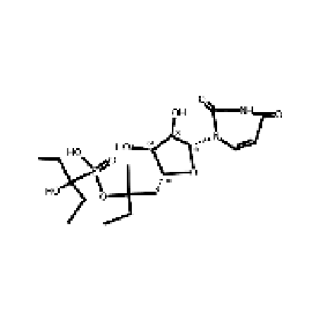 CCC(C)(C[C@H]1O[C@@H](n2ccc(=O)[nH]c2=O)[C@H](O)[C@@H]1O)OP(=O)(O)C(O)(CC)CC